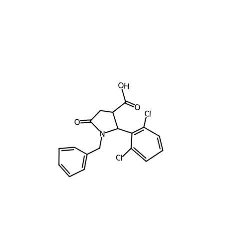 O=C(O)C1CC(=O)N(Cc2ccccc2)C1c1c(Cl)cccc1Cl